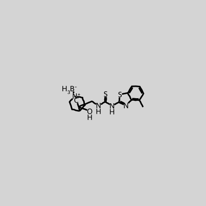 [BH3-][N+]12CCC(CC1)C(O)(CNC(=S)Nc1nc3c(C)cccc3s1)C2